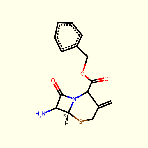 C=C1CS[C@@H]2C(N)C(=O)N2C1C(=O)OCc1ccccc1